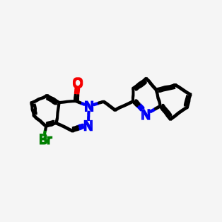 O=c1c2cccc(Br)c2cnn1CCc1ccc2ccccc2n1